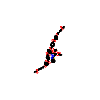 C=CC(=O)OCCCCCCOc1ccc(OC(=O)C2CCC(C(=O)Oc3ccc(OC(=O)C4CCC(C(=O)Oc5ccc(OCCCCCCOC(=O)C=C)cc5)CC4)c(/C=N/N(CC(COC(=O)C=C)COC(=O)C=C)c4nc5ccccc5s4)c3)CC2)cc1